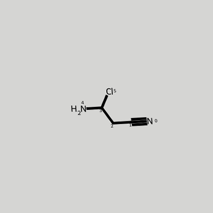 N#CCC(N)Cl